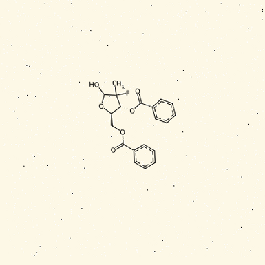 CC1(F)C(O)O[C@H](COC(=O)c2ccccc2)[C@H]1OC(=O)c1ccccc1